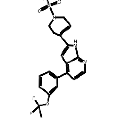 CS(=O)(=O)N1CC=C(c2cc3c(-c4cccc(OC(F)(F)F)c4)ccnc3[nH]2)CC1